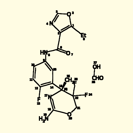 CCc1ocnc1C(=O)Nc1ccc(F)c([C@@]2(C)N=C(N)OCC2(F)F)c1.O=CO